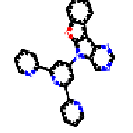 c1ccc(-c2cc(-n3c4cncnc4c4c5ccccc5oc43)cc(-c3ccccn3)n2)nc1